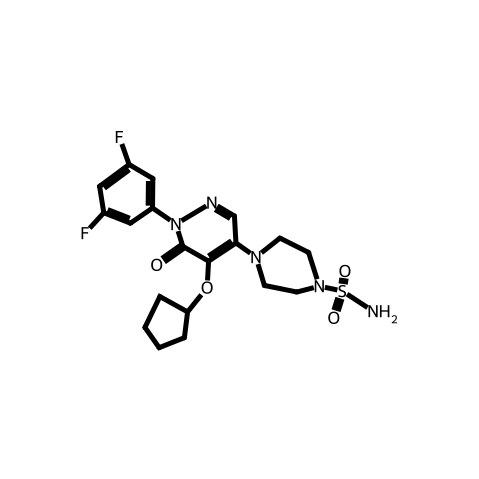 NS(=O)(=O)N1CCN(c2cnn(-c3cc(F)cc(F)c3)c(=O)c2OC2CCCC2)CC1